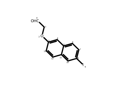 O=CCOc1[c]c2ccc(I)cc2cc1